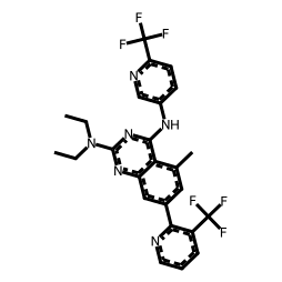 CCN(CC)c1nc(Nc2ccc(C(F)(F)F)nc2)c2c(C)cc(-c3ncccc3C(F)(F)F)cc2n1